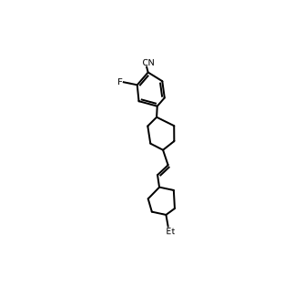 CCC1CCC(/C=C/C2CCC(c3ccc(C#N)c(F)c3)CC2)CC1